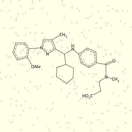 COc1ccccc1-n1cc(C)c(C(Nc2ccc(C(=O)N(C)CCC(=O)O)cc2)C2CCCCC2)n1